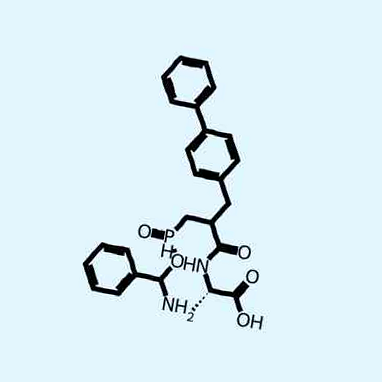 C[C@H](NC(=O)C(Cc1ccc(-c2ccccc2)cc1)C[PH](=O)OC(N)c1ccccc1)C(=O)O